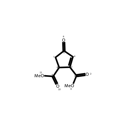 COC(=O)C1=CC(=O)CC1C(=O)OC